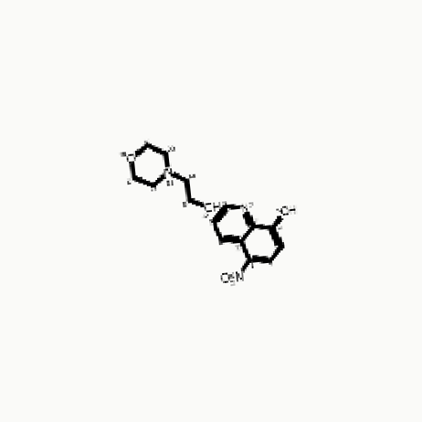 O=[N+]([O-])c1ccc(O)c2ncccc12.OCCN1CCOCC1